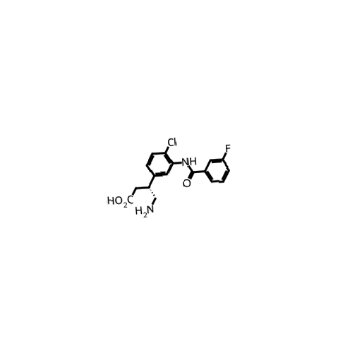 NC[C@H](CC(=O)O)c1ccc(Cl)c(NC(=O)c2cccc(F)c2)c1